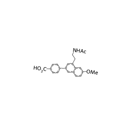 COc1ccc2cc(-c3ccc(C(=O)O)cc3)cc(CCNC(C)=O)c2c1